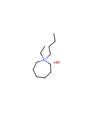 Br.CCCC[N+]1(CC)CCCCCC1